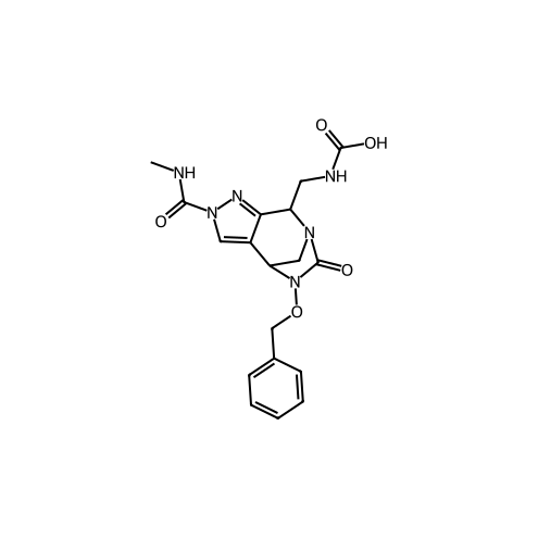 CNC(=O)n1cc2c(n1)C(CNC(=O)O)N1CC2N(OCc2ccccc2)C1=O